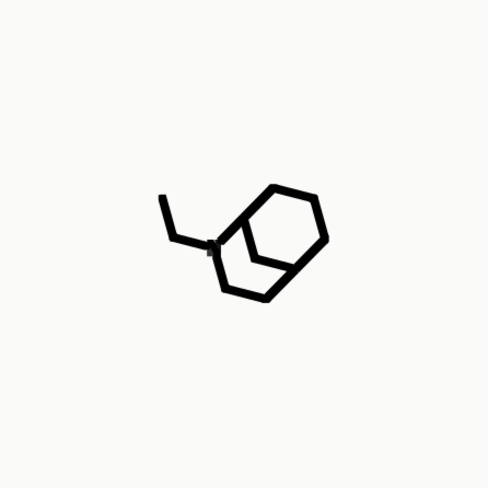 CCN1CCC2CCCC1C2